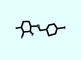 CC1CCC(OCC2CCC(I)CC2)C(F)C1F